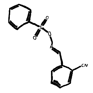 N#Cc1ccccc1/C=N/OS(=O)(=O)c1ccccc1